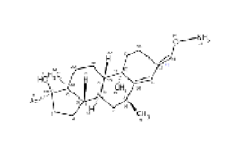 CC(=O)[C@@]1(O)CC[C@H]2[C@@H]3C[C@H](C)C4=C/C(=C/ON)CC[C@]4(C)[C@H]3CC[C@@]21C